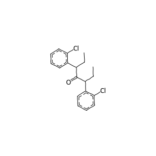 CCC(C(=O)C(CC)c1ccccc1Cl)c1ccccc1Cl